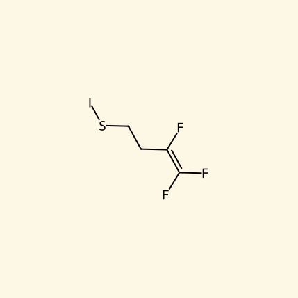 FC(F)=C(F)CCSI